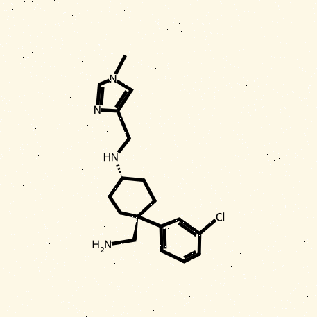 Cn1cnc(CN[C@H]2CC[C@@](CN)(c3cccc(Cl)c3)CC2)c1